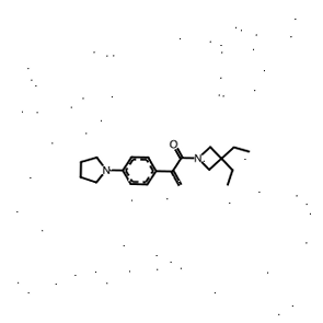 C=C(C(=O)N1CC(CC)(CC)C1)c1ccc(N2CCCC2)cc1